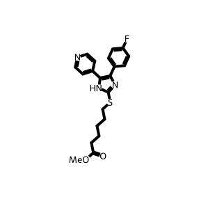 COC(=O)CCCCCSc1nc(-c2ccc(F)cc2)c(-c2ccncc2)[nH]1